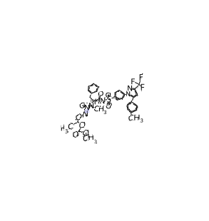 COC(=O)OC(C)O/N=[N+](\[O-])N(C)[C@@H](Cc1ccccc1)C(=O)NS(=O)(=O)c1ccc(-n2nc(C(F)(F)F)cc2-c2ccc(C)cc2)cc1